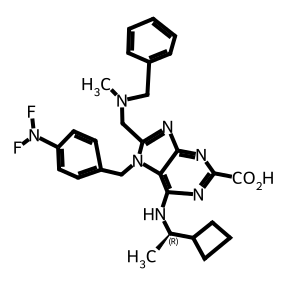 C[C@@H](Nc1nc(C(=O)O)nc2nc(CN(C)Cc3ccccc3)n(Cc3ccc(N(F)F)cc3)c12)C1CCC1